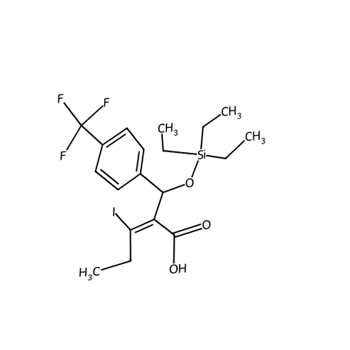 CCC(I)=C(C(=O)O)C(O[Si](CC)(CC)CC)c1ccc(C(F)(F)F)cc1